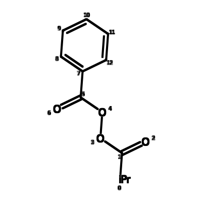 CC(C)C(=O)OOC(=O)c1ccccc1